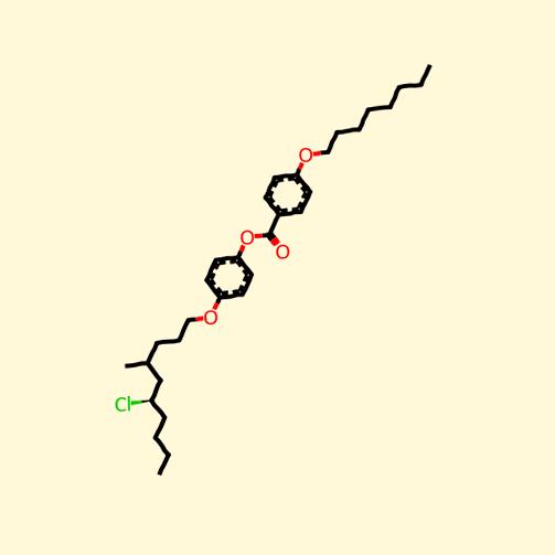 CCCCCCCCOc1ccc(C(=O)Oc2ccc(OCCCC(C)C[C@H](Cl)CCCC)cc2)cc1